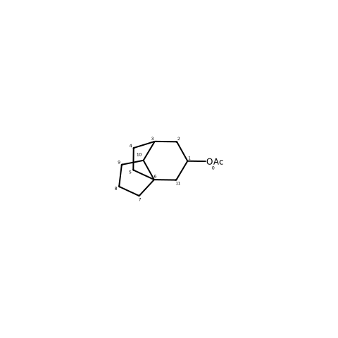 CC(=O)OC1CC2CCC3(CCCC23)C1